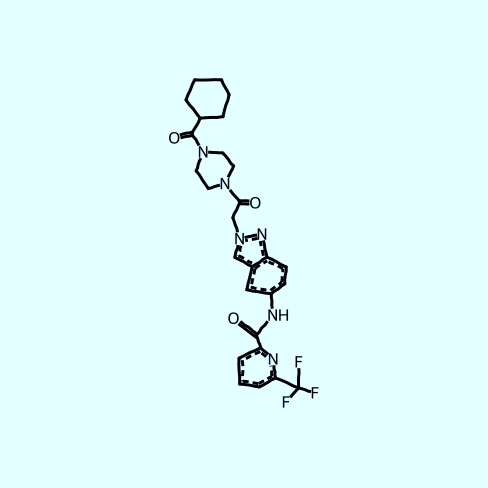 O=C(Nc1ccc2nn(CC(=O)N3CCN(C(=O)C4CCCCC4)CC3)cc2c1)c1cccc(C(F)(F)F)n1